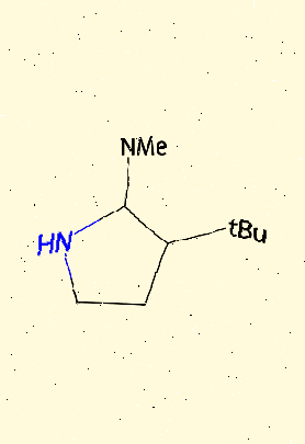 CNC1NCCC1C(C)(C)C